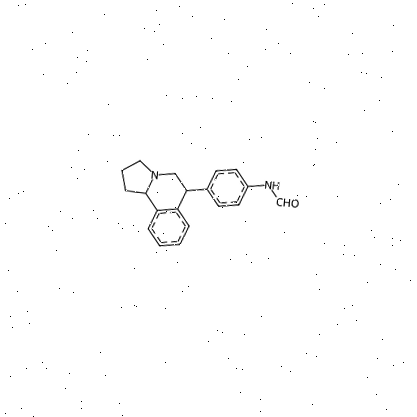 O=CNc1ccc(C2CN3CCCC3c3ccccc32)cc1